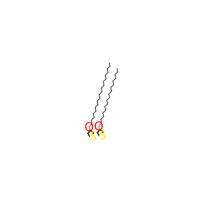 CCCCCCCCCCCCCCCCCCCCOc1ccsc1.CCCCCCCCCCCCCCCCCCOc1ccsc1